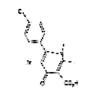 Cc1c(C(=O)O)c(=O)c(Br)c(-c2ccc(Cl)cc2)n1C